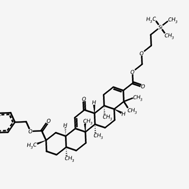 CC1(C)C(C(=O)OCOCC[Si](C)(C)C)=CC[C@]2(C)[C@H]3C(=O)C=C4[C@@H]5C[C@@](C)(C(=O)OCc6ccccc6)CC[C@]5(C)CC[C@@]4(C)[C@]3(C)CC[C@@H]12